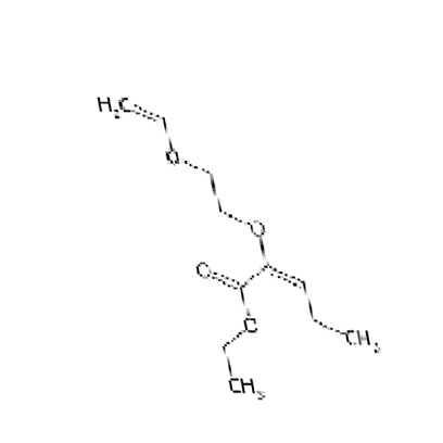 C=COCCOC(=CCC)C(=O)OCC